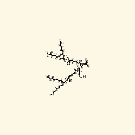 CCCCCCCCC(CCCCCCCC)COC(=O)CCCCCN(CCO)CCN(CCCCCC(=O)OCC(CCCCCCCC)CCCCCCCC)C1C(F)C1F